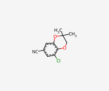 CC1(C)COc2c(Cl)cc(C#N)cc2O1